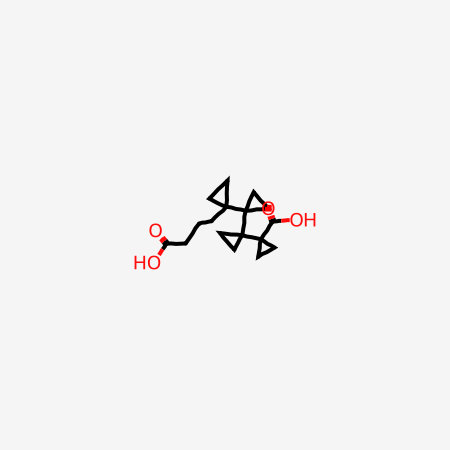 O=C(O)CCCC1(C2(C3(C4(C(=O)O)CC4)CC3)CC2)CC1